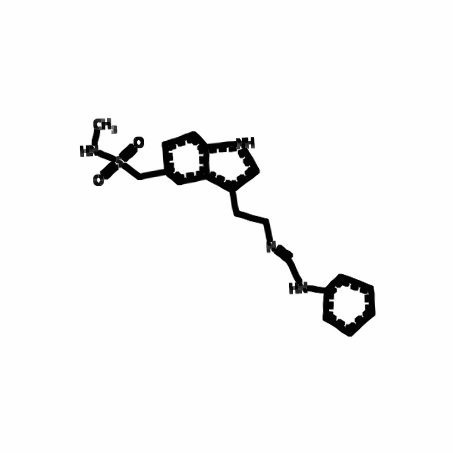 CNS(=O)(=O)Cc1ccc2[nH]cc(CCN=CNc3ccccc3)c2c1